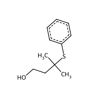 CC(C)(CCO)Sc1ccccc1